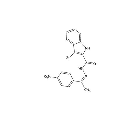 CC(=NNC(=O)c1[nH]c2ccccc2c1C(C)C)c1ccc([N+](=O)[O-])cc1